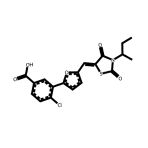 CCC(C)N1C(=O)S/C(=C\c2ccc(-c3cc(C(=O)O)ccc3Cl)o2)C1=O